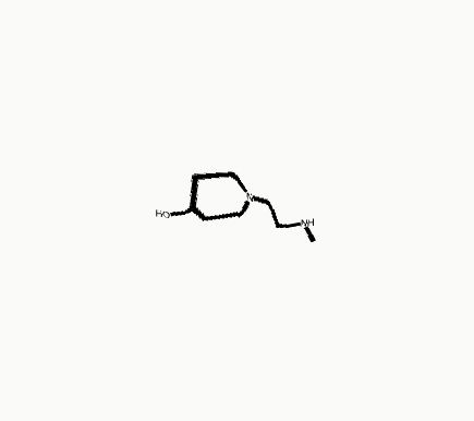 CNCCN1CCC(O)CC1